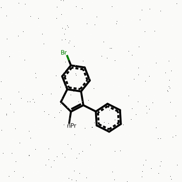 CCCC1=C(c2ccccc2)c2ccc(Br)cc2C1